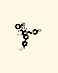 COc1ccc(-c2cnc3c(c2)c(O)c(C(=O)NC2(C(=O)O)CCCCC2)c(=O)n3CCN2CCC(O)CC2)cc1